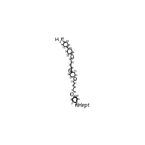 [CH2+][CH-]CCCCCc1ccc(OCCCCCCOC2CCC(OCCCCOC3CCC(C4CCC(C)CC4)CC3)CC2)cc1